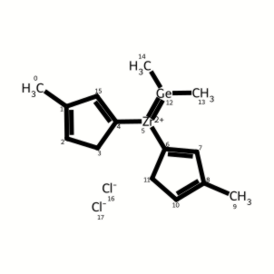 CC1=CC[C]([Zr+2]([C]2=CC(C)=CC2)=[Ge]([CH3])[CH3])=C1.[Cl-].[Cl-]